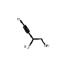 [CH2]C(C#CCC)CCCC